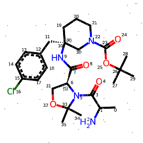 CC(N)C(=O)N1[C@H](C(=O)N[C@@]2(Cc3ccc(Cl)cc3)CCCN(C(=O)OC(C)(C)C)C2)COC1(C)C